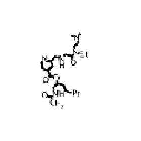 CCN(CCN(C)C)C(=O)CNCc1cc(C(=O)OC(CCC(C)C)CNC(=O)C(F)(F)F)ccn1